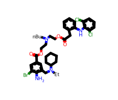 CCCCN(CCOC(=O)Cc1ccccc1Nc1c(Cl)cccc1Cl)CCOC(=O)c1cc(Br)c(N)c(CN(CC)C2CCCCC2)c1